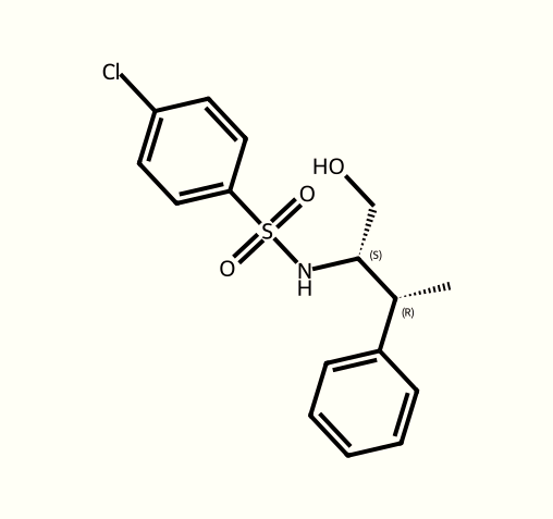 C[C@H](c1ccccc1)[C@@H](CO)NS(=O)(=O)c1ccc(Cl)cc1